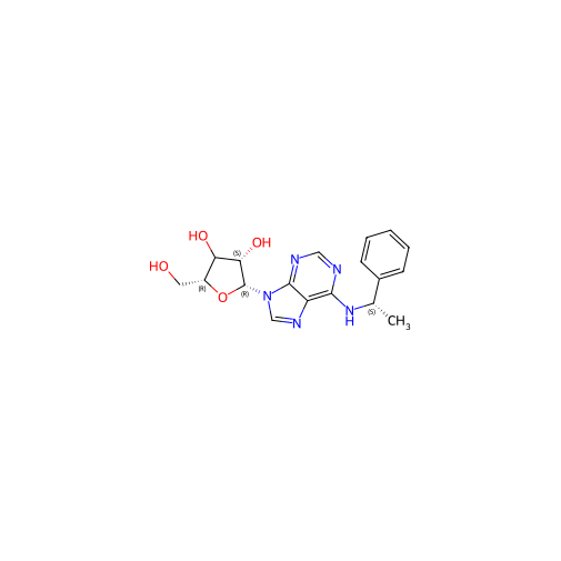 C[C@H](Nc1ncnc2c1ncn2[C@@H]1O[C@H](CO)C(O)[C@@H]1O)c1ccccc1